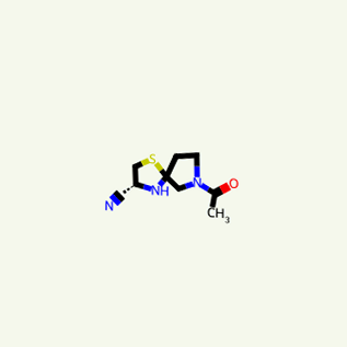 CC(=O)N1CCC2(C1)N[C@H](C#N)CS2